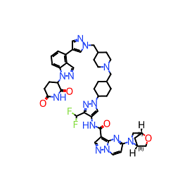 O=C1CCC(n2ncc3c(-c4cnn(CC5CCN(CC6CCC(n7cc(NC(=O)c8cnn9ccc(N%10C[C@H]%11C[C@@H]%10CO%11)nc89)c(C(F)F)n7)CC6)CC5)c4)cccc32)C(=O)N1